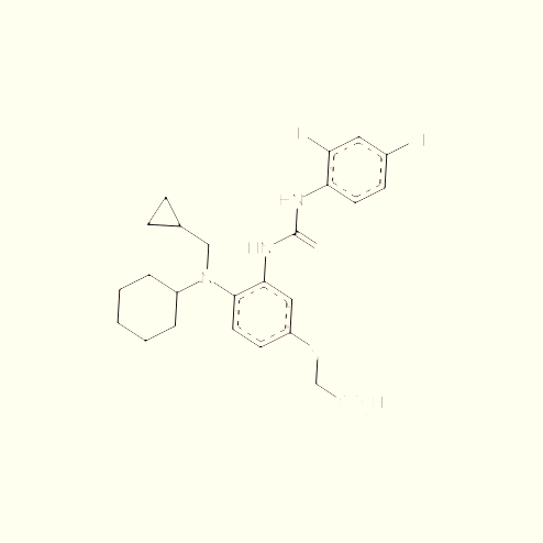 O=C(O)COc1ccc(N(CC2CC2)C2CCCCC2)c(NC(=O)Nc2ccc(Cl)cc2F)c1